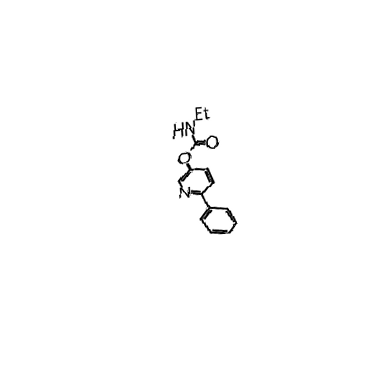 CCNC(=O)Oc1ccc(-c2ccccc2)nc1